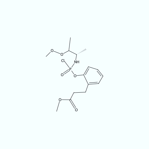 COOC(C)[C@H](C)NP(=O)(Cl)Oc1ccccc1CCC(=O)OC